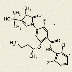 CCC[C@H](C)Oc1cc(-n2nc(C(C)(C)O)n(C)c2=O)c(F)cc1C(=O)Nc1c(F)cccc1Cl